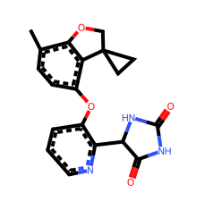 Cc1ccc(Oc2cccnc2C2NC(=O)NC2=O)c2c1OCC21CC1